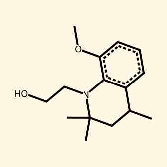 COc1cccc2c1N(CCO)C(C)(C)CC2C